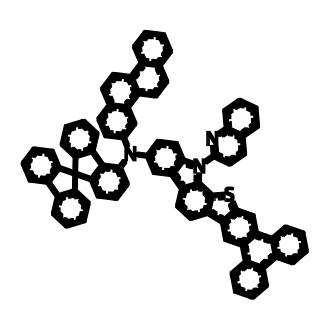 c1ccc2c(c1)-c1ccccc1C21c2ccccc2-c2c(N(c3ccc4ccc5c6ccccc6ccc5c4c3)c3ccc4c(c3)c3ccc5c6cc7c8ccccc8c8ccccc8c7cc6sc5c3n4-c3ccc4ccccc4n3)cccc21